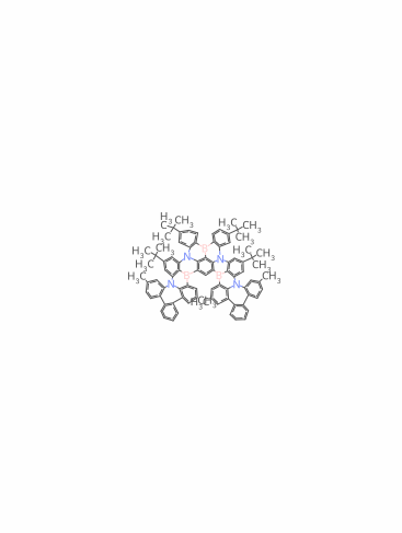 Cc1cc2c3c(c1)-c1ccccc1-c1ccc(C)cc1N3c1cc(C(C)(C)C)cc3c1B2c1cc2c4c5c1N3c1cc(C(C)(C)C)ccc1B5c1ccc(C(C)(C)C)cc1N4c1cc(C(C)(C)C)cc3c1B2c1cc(C)cc2c1N3c1cc(C)ccc1-c1ccccc1-2